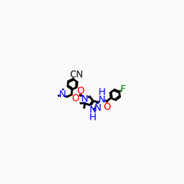 CN(C)CC(OC(=O)N1Cc2c(NC(=O)c3ccc(F)cc3)n[nH]c2C1(C)C)c1ccc(C#N)cc1